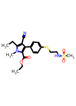 CCOC(=O)c1c(-c2ccc(SCCNS(C)(=O)=O)cc2)c(C#N)c(CC)n1C